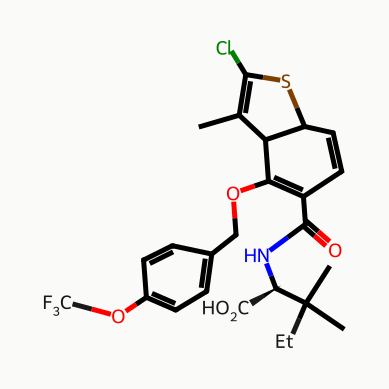 CCC(C)(C)[C@H](NC(=O)C1=C(OCc2ccc(OC(F)(F)F)cc2)C2C(C)=C(Cl)SC2C=C1)C(=O)O